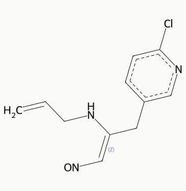 C=CCN/C(=C\N=O)Cc1ccc(Cl)nc1